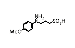 COc1ccc(N(N)CCCS(=O)(=O)O)cc1